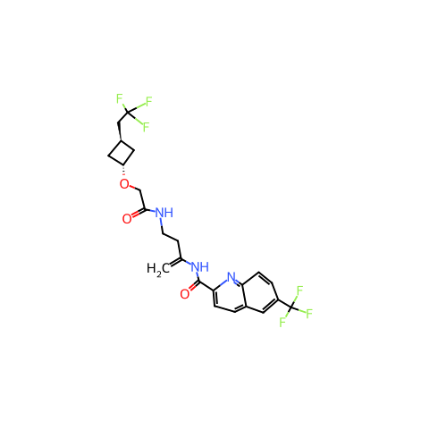 C=C(CCNC(=O)CO[C@H]1C[C@H](CC(F)(F)F)C1)NC(=O)c1ccc2cc(C(F)(F)F)ccc2n1